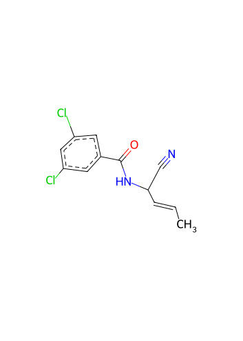 CC=CC(C#N)NC(=O)c1cc(Cl)cc(Cl)c1